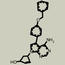 Nc1ncnc2c1c(-c1ccc(OCc3ccccc3)cc1)cn2C1C=CC(O)C1